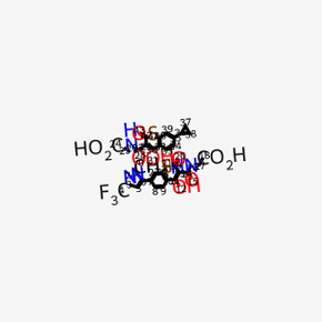 Cn1nc(C(F)(F)F)cc1-c1ccc2c(O)c(C(=O)NCC(=O)O)c(=O)sc2c1.O=C(O)CNC(=O)c1c(O)c2ccc(C3CC3)cc2sc1=O